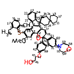 COc1cc2c3c(c4c(c2cc1Sc1c(C)cccc1C)-c1ccccc1C41CCC2(CCCCC2)CC1)C=CC(c1ccc(OCCO)cc1)(c1ccc(N2CCOCC2)cc1)O3